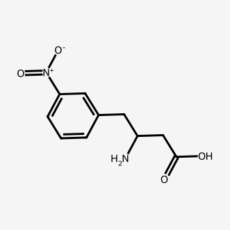 NC(CC(=O)O)Cc1cccc([N+](=O)[O-])c1